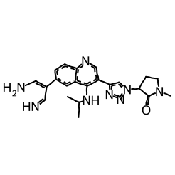 CC(C)Nc1c(-c2cn(C3CCN(C)C3=O)nn2)cnc2ccc(/C(C=N)=C/N)cc12